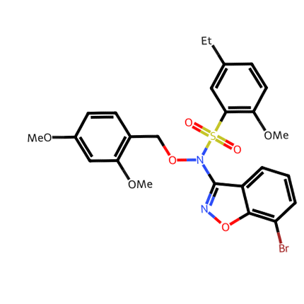 CCc1ccc(OC)c(S(=O)(=O)N(OCc2ccc(OC)cc2OC)c2noc3c(Br)cccc23)c1